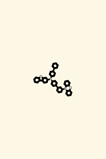 c1ccc(-c2ccc(N(c3ccc(-c4cccc(N5c6ccccc6Oc6ccccc65)c4)cc3)c3ccc4c(c3)oc3ccccc34)cc2)cc1